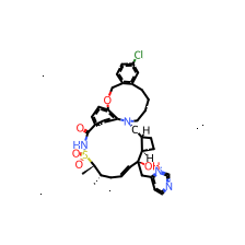 C[C@@H]1[C@@H](C)C/C=C/[C@@](O)(Cc2ccncn2)[C@@H]2CC[C@H]2CN2CCCCc3cc(Cl)ccc3COc3ccc(cc32)C(=O)NS1(=O)=O